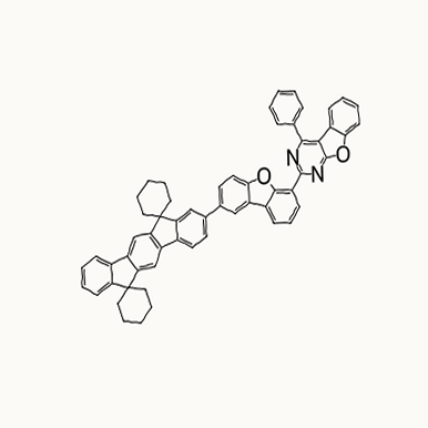 c1ccc(-c2nc(-c3cccc4c3oc3ccc(-c5ccc6c(c5)C5(CCCCC5)c5cc7c(cc5-6)C5(CCCCC5)c5ccccc5-7)cc34)nc3oc4ccccc4c23)cc1